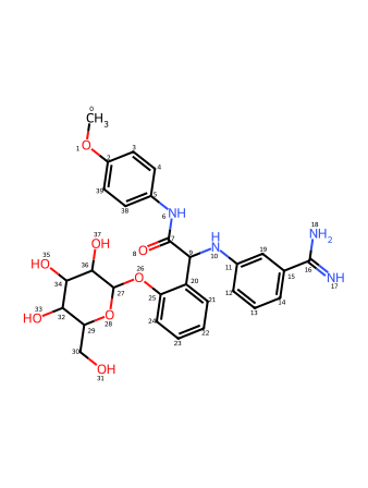 COc1ccc(NC(=O)C(Nc2cccc(C(=N)N)c2)c2ccccc2OC2OC(CO)C(O)C(O)C2O)cc1